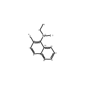 CCN(I)c1c(I)ccc2ccccc12